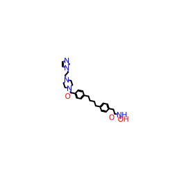 O=C(Cc1ccc(CCCCc2ccc(C(=O)N3CCN(CCn4ccnc4)CC3)cc2)cc1)NO